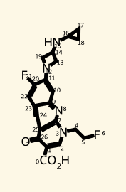 O=C(O)c1cn(CCF)c2nc3cc(N4CC(NC5CC5)C4)c(F)cc3cc2c1=O